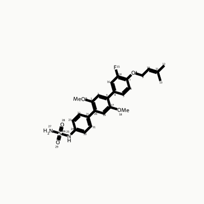 COc1cc(-c2ccc(OCC=C(C)C)c(F)c2)c(OC)cc1-c1ccc(NS(N)(=O)=O)cc1